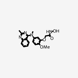 COc1ccc(N(C)c2nc(C)nc3ccccc23)cc1OCC(=O)NO